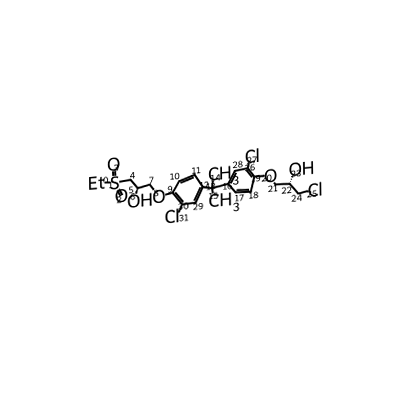 CCS(=O)(=O)C[C@H](O)COc1ccc(C(C)(C)c2ccc(OC[C@H](O)CCl)c(Cl)c2)cc1Cl